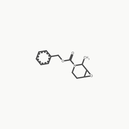 CC1C2OC2CCN1C(=O)OCc1ccccc1